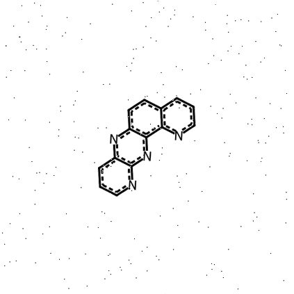 c1cnc2c(c1)ccc1nc3cccnc3nc12